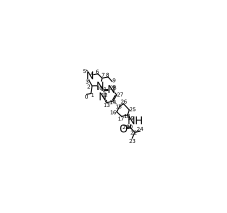 CCC1CN(C)CC(CC)N1c1ncc([C@H]2CC[C@H](NC(=O)C(C)C)CC2)cn1